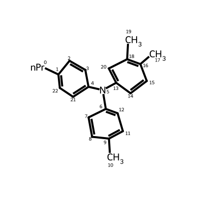 CCCc1ccc(N(c2ccc(C)cc2)c2ccc(C)c(C)c2)cc1